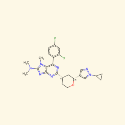 CN(C)c1nc2nc([C@H]3CCO[C@@H](c4cnn(C5CC5)c4)C3)nc(-c3ccc(F)cc3F)c2n1C